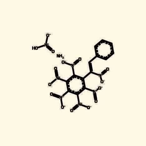 N.O=[N+]([O-])C(=Cc1ccccc1)c1c([N+](=O)[O-])c([N+](=O)[O-])c([N+](=O)[O-])c([N+](=O)[O-])c1[N+](=O)[O-].O=[N+]([O-])O